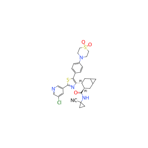 N#CC1(NC(=O)[C@@H]2CC3CC3C[C@H]2c2nc(-c3cncc(Cl)c3)sc2-c2ccc(N3CCS(=O)(=O)CC3)cc2)CC1